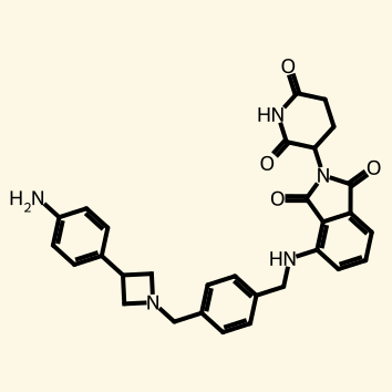 Nc1ccc(C2CN(Cc3ccc(CNc4cccc5c4C(=O)N(C4CCC(=O)NC4=O)C5=O)cc3)C2)cc1